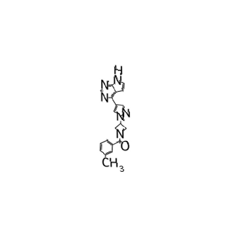 Cc1cccc(C(=O)N2CC(n3cc(-c4ncnc5[nH]ccc45)cn3)C2)c1